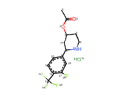 CC(=O)OC1CCNC(c2ccc(C(F)(F)F)c(F)c2)C1.Cl